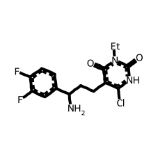 CCn1c(=O)[nH]c(Cl)c(CCC(N)c2ccc(F)c(F)c2)c1=O